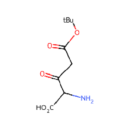 CC(C)(C)OC(=O)CC(=O)C(N)C(=O)O